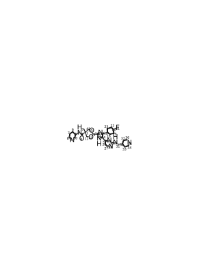 CC1(C(=O)Nc2cccnc2)COC(c2nc(-c3ccc(F)cc3)c(-c3ccnc(NCc4ccncc4)n3)[nH]2)OC1